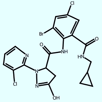 O=C(NCC1CC1)c1cc(Cl)cc(Br)c1NC(=O)C1CC(O)=NN1c1ncccc1Cl